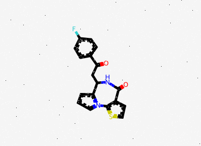 O=C(CC1NC(=O)c2ccsc2-n2cccc21)c1ccc(F)cc1